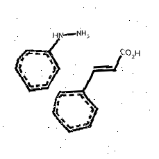 NNc1ccccc1.O=C(O)C=Cc1ccccc1